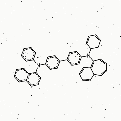 C1=CCC(N(C2=C3C=CC=CC3C=CC=C2)c2ccc(-c3ccc(N(c4ccccc4)c4cccc5ccccc45)cc3)cc2)C=C1